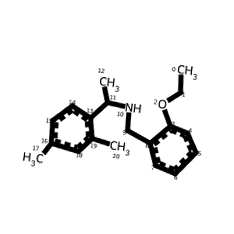 CCOc1ccccc1CNC(C)c1ccc(C)cc1C